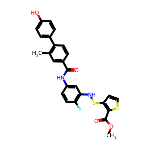 COC(=O)c1sccc1SNc1cc(NC(=O)c2ccc(-c3ccc(O)cc3)c(C)c2)ccc1F